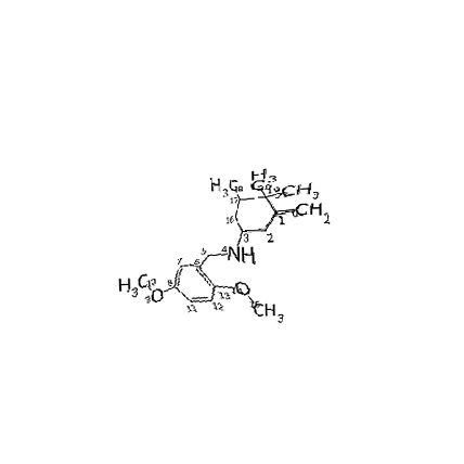 C=C1CC(NCc2cc(OC)ccc2OC)CC(C)C1(C)C